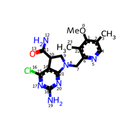 COc1c(C)cnc(CN2CC(C(N)=O)c3c(Cl)nc(N)nc32)c1C